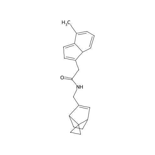 CC1=CC=CC2C(CC(=O)NCC3=CC4CCC3C43CC3)=CC=C12